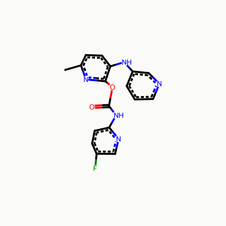 Cc1ccc(Nc2cccnc2)c(OC(=O)Nc2ccc(F)cn2)n1